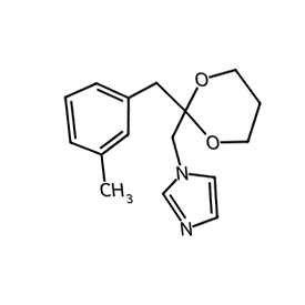 Cc1cccc(CC2(Cn3ccnc3)OCCCO2)c1